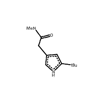 CNC(=O)Cc1c[nH]c(C(C)(C)C)c1